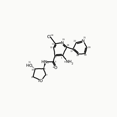 Nc1c(C(=O)N[C@H]2COC[C@@H]2O)cc(Cl)nc1-c1cccnc1